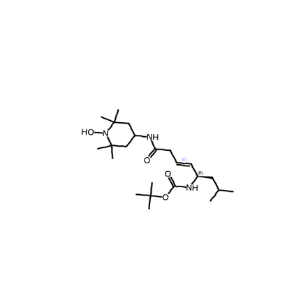 CC(C)C[C@H](/C=C/CC(=O)NC1CC(C)(C)N(O)C(C)(C)C1)NC(=O)OC(C)(C)C